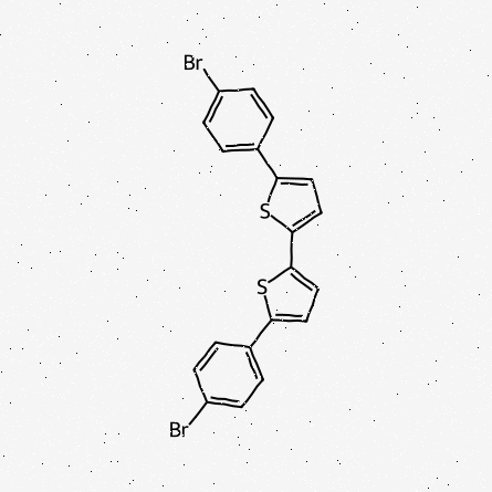 Brc1ccc(-c2ccc(-c3ccc(-c4ccc(Br)cc4)s3)s2)cc1